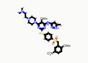 COc1ccc([N+](=O)[O-])cc1CS(=O)(=O)c1ccc(Sc2nc(Nc3cc(C)[nH]n3)c(OC)c(N3CCN(CCN(C)C)CC3)n2)cc1